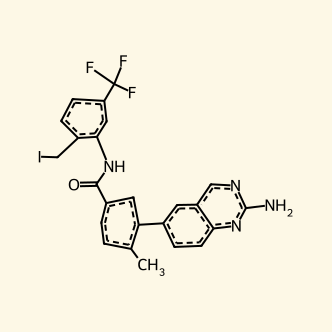 Cc1ccc(C(=O)Nc2cc(C(F)(F)F)ccc2CI)cc1-c1ccc2nc(N)ncc2c1